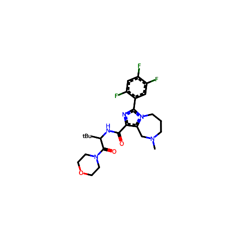 CN1CCCn2c(-c3cc(F)c(F)cc3F)nc(C(=O)NC(C(=O)N3CCOCC3)C(C)(C)C)c2C1